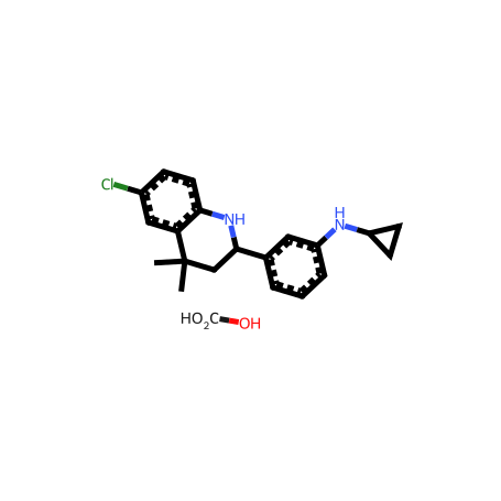 CC1(C)CC(c2cccc(NC3CC3)c2)Nc2ccc(Cl)cc21.O=C(O)O